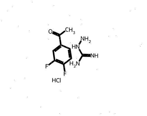 CC(=O)c1ccc(F)c(F)c1.Cl.N=C(N)NN